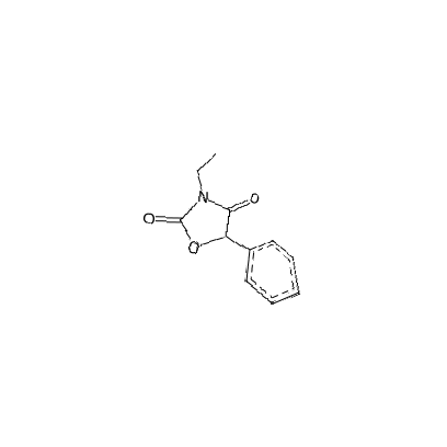 CCN1C(=O)OC(c2ccccc2)C1=O